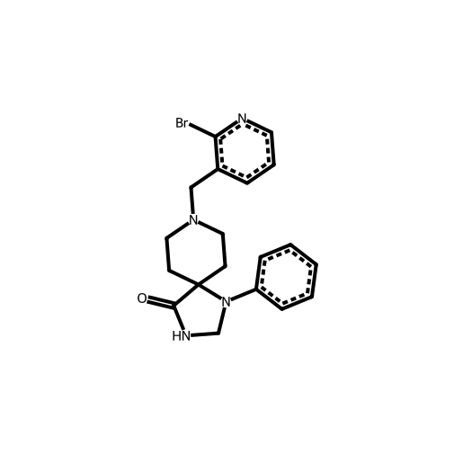 O=C1NCN(c2ccccc2)C12CCN(Cc1cccnc1Br)CC2